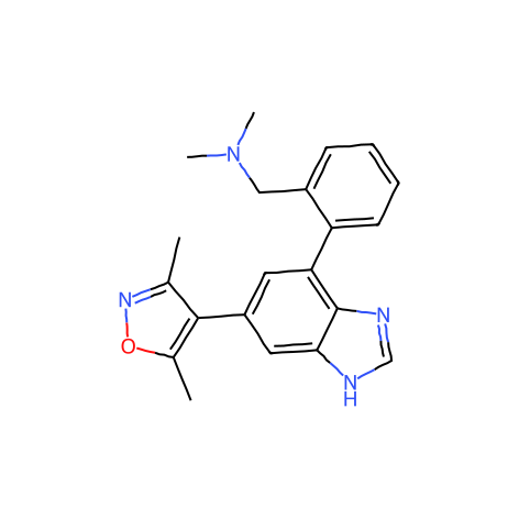 Cc1noc(C)c1-c1cc(-c2ccccc2CN(C)C)c2nc[nH]c2c1